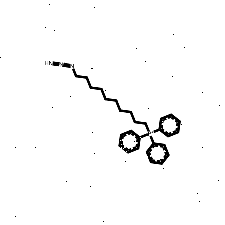 N=[N+]=NCCCCCCCCCC[P+](c1ccccc1)(c1ccccc1)c1ccccc1